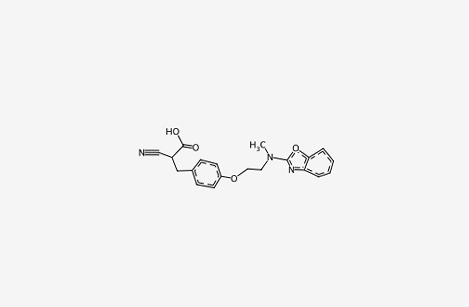 CN(CCOc1ccc(CC(C#N)C(=O)O)cc1)c1nc2ccccc2o1